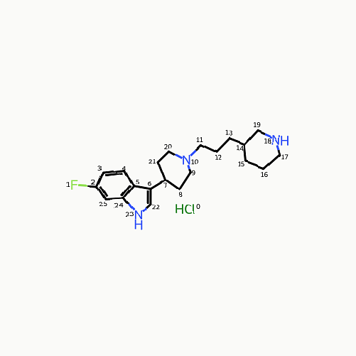 Cl.Fc1ccc2c(C3CCN(CCCC4CCCNC4)CC3)c[nH]c2c1